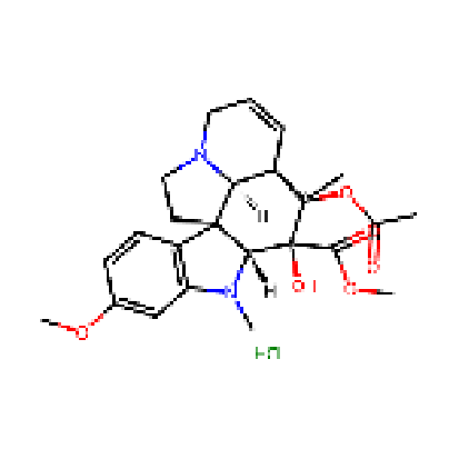 CC[C@]12C=CCN3CC[C@@]4(c5ccc(OC)cc5N(C)[C@H]4[C@@](O)(C(=O)OC)[C@@H]1OC(C)=O)[C@@H]32.Cl